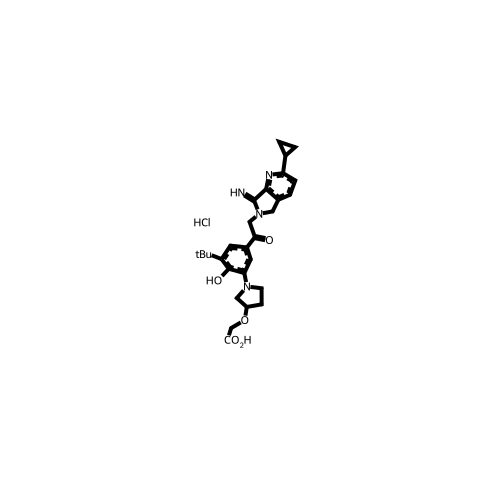 CC(C)(C)c1cc(C(=O)CN2Cc3ccc(C4CC4)nc3C2=N)cc(N2CCC(OCC(=O)O)C2)c1O.Cl